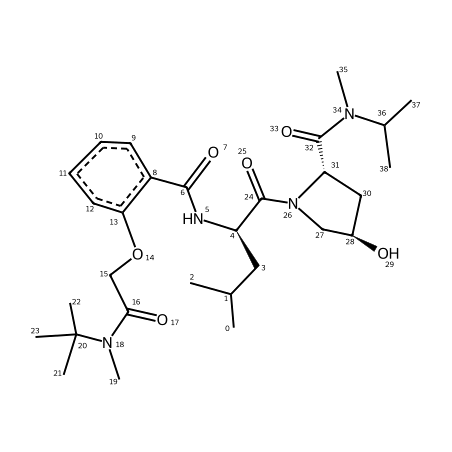 CC(C)C[C@@H](NC(=O)c1ccccc1OCC(=O)N(C)C(C)(C)C)C(=O)N1C[C@H](O)C[C@H]1C(=O)N(C)C(C)C